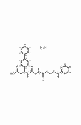 O=C(O)CC(NC(=O)CNC(=O)CCCNc1ccccn1)c1ccc(-c2ccccc2)cc1.[NaH]